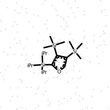 CC(C)[Si](c1occ([Si](C)(C)C)c1[Si](C)(C)C)(C(C)C)C(C)C